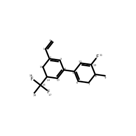 C=CC1=CC(C2=CCC(C)C(F)=C2)=CC(C(C)(F)F)C1